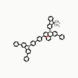 CC1(C)c2ccccc2-c2ccc(N(c3ccc(-c4ccc(-c5ccc(-n6c7ccc(-c8ccccc8)cc7c7cc(-c8ccccc8)ccc76)cc5)cc4)cc3)c3ccc(-c4ccccc4)cc3-c3ccccc3)cc21